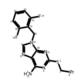 CC(C)CSc1nc(N)c2ncn(Cc3c(F)cccc3F)c2n1